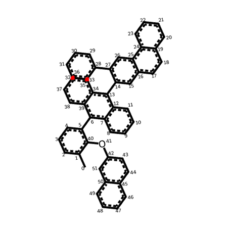 Cc1cccc(-c2c3ccccc3c(-c3cc4ccc5ccccc5c4cc3-c3ccccc3)c3ccccc23)c1Oc1ccc2ccccc2c1